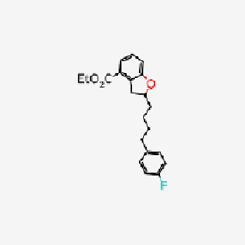 CCOC(=O)c1cccc2c1CC(CCCCc1ccc(F)cc1)O2